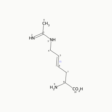 CC(=N)NC/C=C/CC(N)C(=O)O